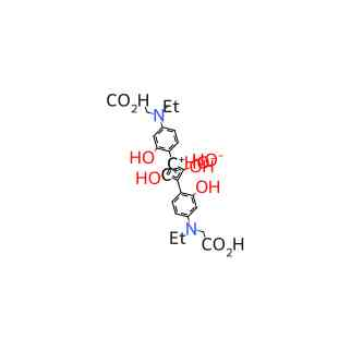 CCN(CC(=O)O)c1ccc(-c2c(O)[c+](-c3ccc(N(CC)CC(=O)O)cc3O)[c+]2O)c(O)c1.[OH-].[OH-]